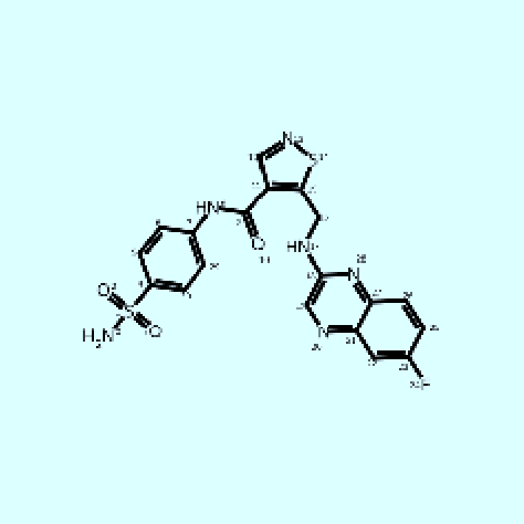 NS(=O)(=O)c1ccc(NC(=O)c2cnsc2CNc2cnc3cc(F)ccc3n2)cc1